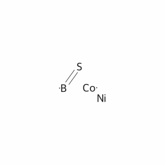 [B]=S.[Co].[Ni]